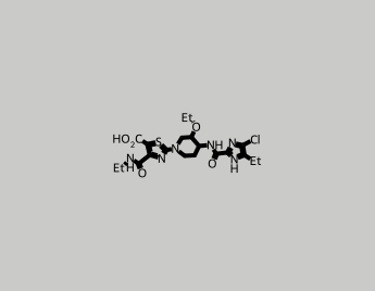 CCNC(=O)c1nc(N2CCC(NC(=O)c3nc(Cl)c(CC)[nH]3)C(OCC)C2)sc1C(=O)O